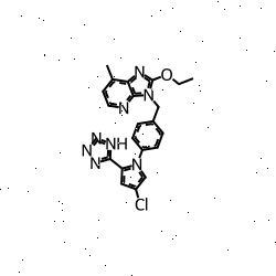 CCOc1nc2c(C)ccnc2n1Cc1ccc(-n2cc(Cl)cc2-c2nnn[nH]2)cc1